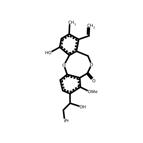 C=Cc1c(C)cc(O)c2c1COC(=O)c1c(ccc(C(O)CC(C)C)c1OC)O2